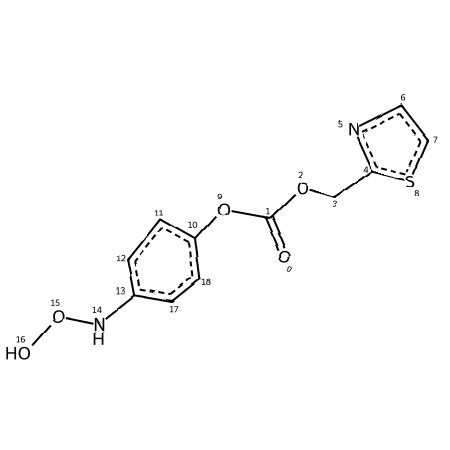 O=C(OCc1nccs1)Oc1ccc(NOO)cc1